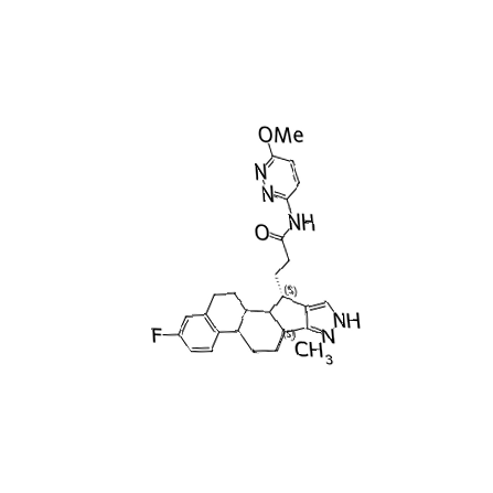 COc1ccc(NC(=O)CC[C@@H]2c3c[nH]nc3[C@@]3(C)CCC4c5ccc(F)cc5CCC4C23)nn1